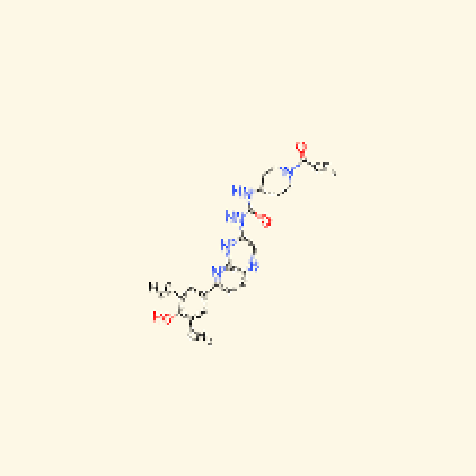 Cc1cc(-c2ccc3ncc(NC(=O)NC4CCN(C(=O)C(F)(F)F)CC4)nc3n2)cc(C)c1O